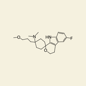 COCCCC1(N(C)C)CCC2(CC1)OCCc1c2[nH]c2ccc(F)cc12